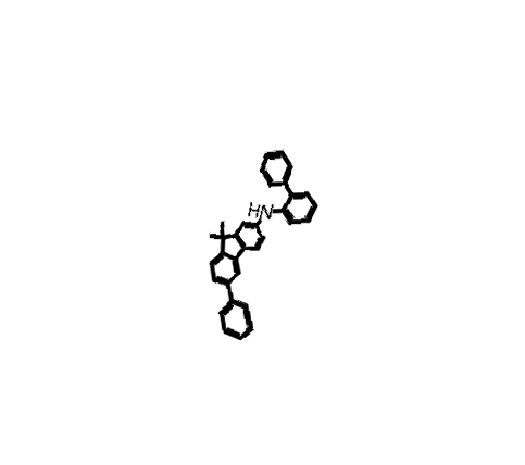 CC1(C)c2ccc(-c3ccccc3)cc2-c2ccc(Nc3ccccc3-c3ccccc3)cc21